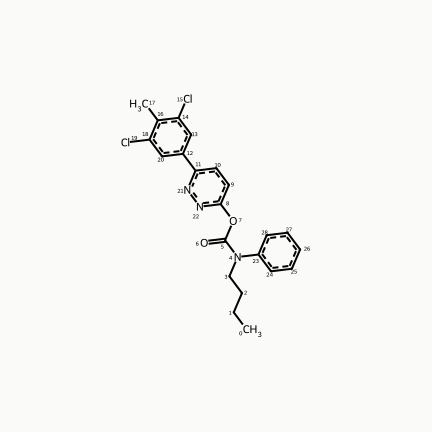 CCCCN(C(=O)Oc1ccc(-c2cc(Cl)c(C)c(Cl)c2)nn1)c1ccccc1